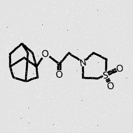 O=C(CN1CCS(=O)(=O)CC1)OC12CC3CC(CC(C3)C1)C2